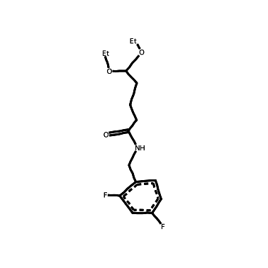 CCOC(CCCC(=O)NCc1ccc(F)cc1F)OCC